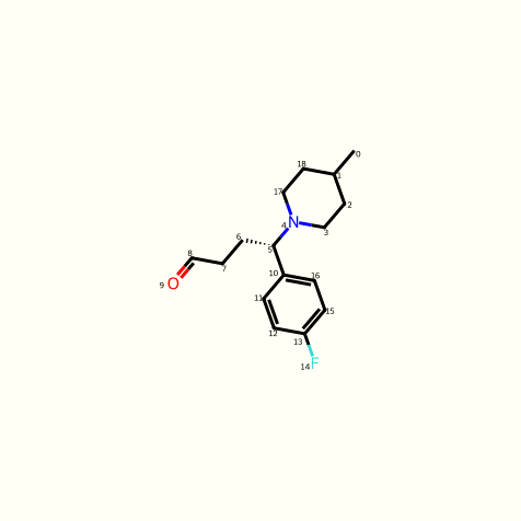 CC1CCN([C@@H](CCC=O)c2ccc(F)cc2)CC1